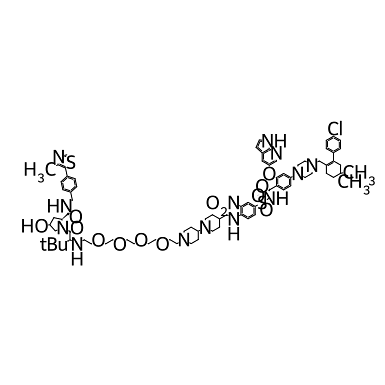 Cc1ncsc1-c1ccc(CNC(=O)[C@@H]2C[C@@H](O)CN2C(=O)[C@@H](NCCOCCOCCOCCOCCN2CCC(N3CCC(CNc4ccc(S(=O)(=O)NC(=O)c5ccc(N6CCN(CC7=C(c8ccc(Cl)cc8)CC(C)(C)CC7)CC6)cc5Oc5cnc6[nH]ccc6c5)cc4[N+](=O)[O-])CC3)CC2)C(C)(C)C)cc1